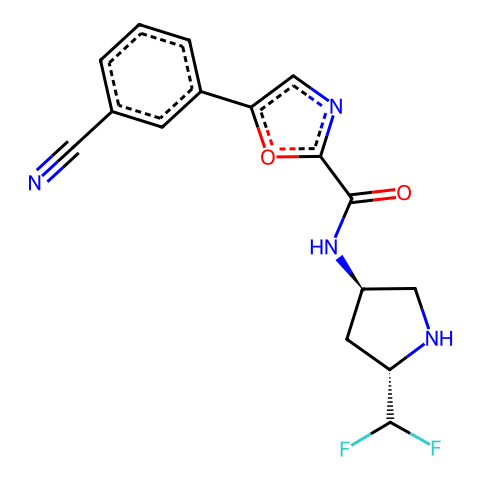 N#Cc1cccc(-c2cnc(C(=O)N[C@H]3CN[C@H](C(F)F)C3)o2)c1